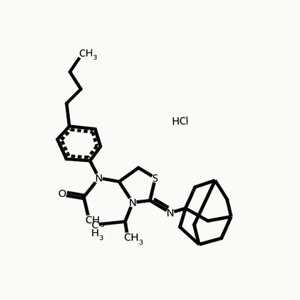 CCCCc1ccc(N(C(C)=O)C2CSC(=NC34CC5CC(CC(C5)C3)C4)N2C(C)C)cc1.Cl